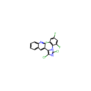 Fc1cc(F)c(-n2c(Cl)nc(Cl)c2-c2cnc3ccccc3c2)c(F)c1